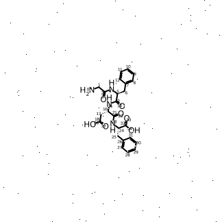 NCC(=O)N[C@@H](Cc1ccccc1)C(=O)N[C@@H](CC(=O)O)C(=O)N[C@@H](Cc1ccccc1)C(=O)O